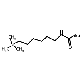 CCC(C)C(=O)NCCCCCC[N+](C)(C)C